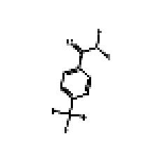 O=C(c1ccc(C(F)(F)F)cc1)C(F)I